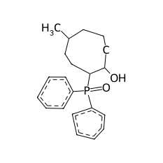 CC1CCCC(O)C(P(=O)(c2ccccc2)c2ccccc2)CC1